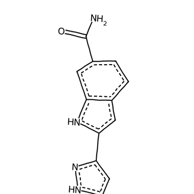 NC(=O)c1ccc2cc(-c3cc[nH]n3)[nH]c2c1